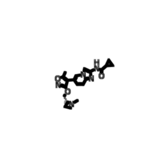 Cc1onc(OC[C@H]2CCN2C)c1-c1ccc2nc(NC(=O)C3CC3)cn2c1